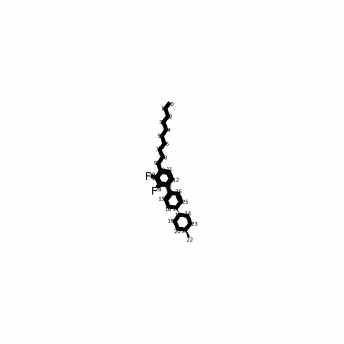 CCCCCCCCCCc1ccc(C2=CCC([C@H]3CC[C@H](C)CC3)C=C2)c(F)c1F